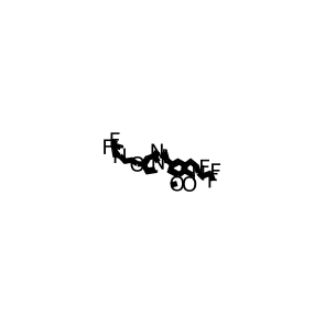 COc1cc(-c2cnc3cc(OCCN4CC(F)(F)C4)ccn23)cc2c1C(=O)N(CC(F)(F)F)CC2